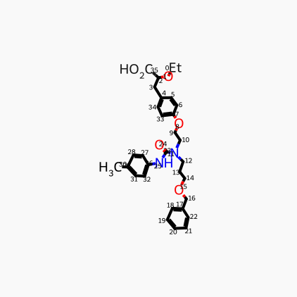 CCOC(Cc1ccc(OCCN(CCCOCc2ccccc2)C(=O)Nc2ccc(C)cc2)cc1)C(=O)O